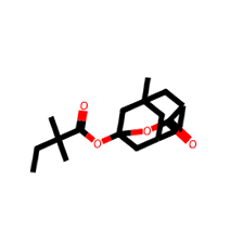 CCC(C)(C)C(=O)OC12CC3CC(CC(C)(C3)C1)C(=O)O2